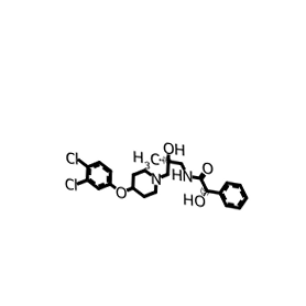 C[C@](O)(CNC(=O)[C@@H](O)c1ccccc1)CN1CCC(Oc2ccc(Cl)c(Cl)c2)CC1